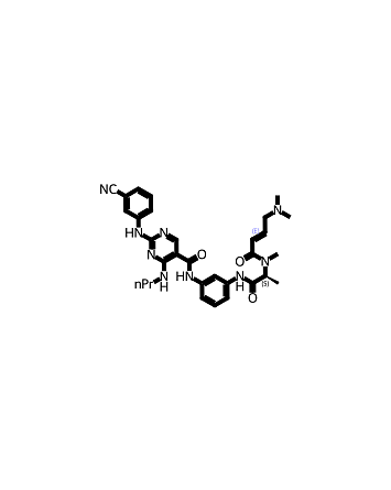 CCCNc1nc(Nc2cccc(C#N)c2)ncc1C(=O)Nc1cccc(NC(=O)[C@H](C)N(C)C(=O)/C=C/CN(C)C)c1